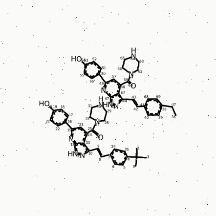 CC(C)(C)c1ccc(/C=C/c2n[nH]c3nc(-c4ccc(O)cc4)cc(C(=O)N4CCNCC4)c23)cc1.CCc1ccc(/C=C/c2n[nH]c3nc(-c4ccc(O)cc4)cc(C(=O)N4CCNCC4)c23)cc1